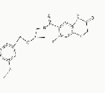 C=C(c1cc2c(cc1F)OCC(=O)N2)N1CC(OCc2cccc(OC)c2)C1